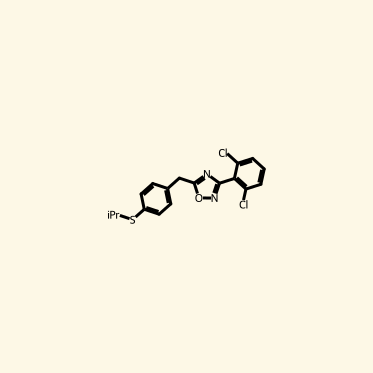 CC(C)Sc1ccc(Cc2nc(-c3c(Cl)cccc3Cl)no2)cc1